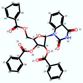 O=C(OC[C@H]1O[C@@H](n2c(=O)[nH]c(=O)c3ccccc32)C(OC(=O)c2ccccc2)C1OC(=O)c1ccccc1)c1ccccc1